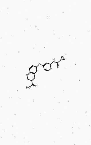 O=C(O)C1COc2ccc(Oc3ccnc(NC(=O)C4CC4)c3)cc2C1